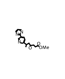 COC(=O)CCC(=O)CC(C)C1=CC=C(c2ncccn2)C=NC1